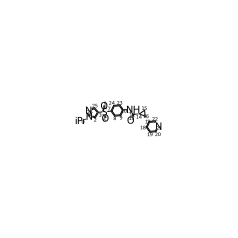 CC(C)n1cc(S(=O)(=O)c2ccc(NC(=O)[C@H]3C[C@@H]3c3cccnc3)cc2)cn1